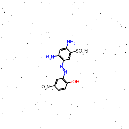 Nc1cc(N)c(S(=O)(=O)O)cc1N=Nc1cc([N+](=O)[O-])ccc1O